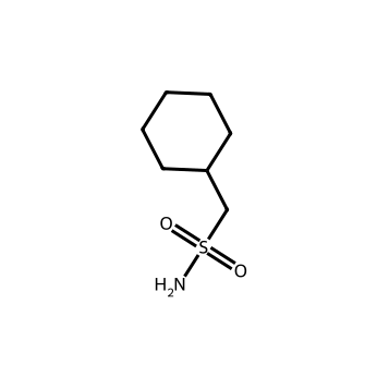 NS(=O)(=O)CC1CCCCC1